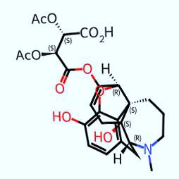 CC(=O)O[C@H](C(=O)O)[C@H](OC(C)=O)C(=O)OC1=CC[C@@]2(O)[C@H]3Cc4ccc(O)c5c4[C@@]2(CCCN3C)[C@H]1O5